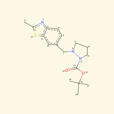 Cc1nc2ccc(CN3CCCN3C(=O)OC(C)(C)C)cc2s1